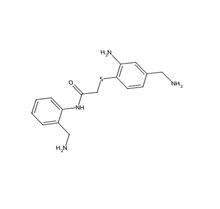 NCc1ccc(SCC(=O)Nc2ccccc2CN)c(N)c1